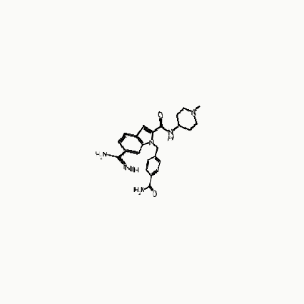 CN1CCC(NC(=O)c2cc3ccc(C(=N)N)cc3n2Cc2ccc(C(N)=O)cc2)CC1